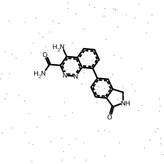 NC(=O)c1nnc2c(-c3ccc4c(c3)CNC4=O)cccc2c1N